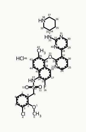 COc1c(Cl)cccc1CS(=O)(=O)Nc1c(F)ccc2c(Oc3ncccc3-c3ccnc(N[C@H]4CCCNC4)n3)c(C)ccc12.Cl